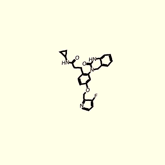 O=C(CCc1ccc(OCc2ncccc2F)cc1N1Cc2ccccc2NC1=O)NC1CC1